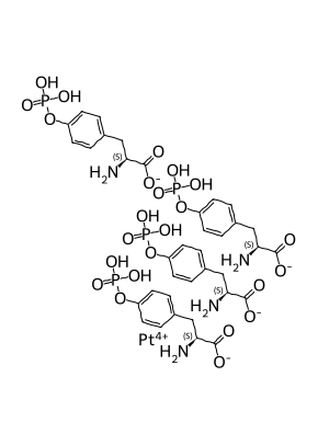 N[C@@H](Cc1ccc(OP(=O)(O)O)cc1)C(=O)[O-].N[C@@H](Cc1ccc(OP(=O)(O)O)cc1)C(=O)[O-].N[C@@H](Cc1ccc(OP(=O)(O)O)cc1)C(=O)[O-].N[C@@H](Cc1ccc(OP(=O)(O)O)cc1)C(=O)[O-].[Pt+4]